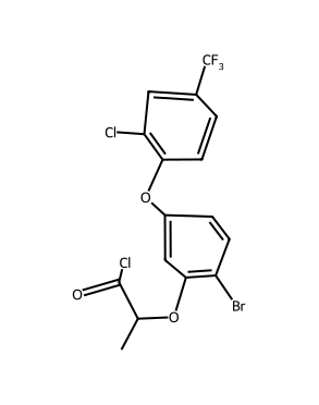 CC(Oc1cc(Oc2ccc(C(F)(F)F)cc2Cl)ccc1Br)C(=O)Cl